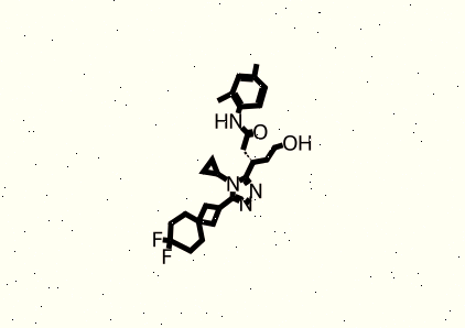 Cc1ccc(NC(=O)C[C@H](CCO)c2nnc(C3CC4(CCC(F)(F)CC4)C3)n2C2CC2)c(C)c1